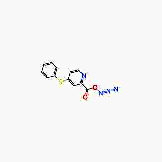 [N-]=[N+]=NOC(=O)c1cc(Sc2ccccc2)ccn1